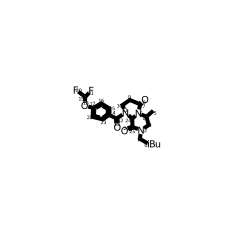 CCC(C)CN1CC(C)N2C(=O)CCN(C(=O)c3ccc(OC(F)F)cc3)C2C1=O